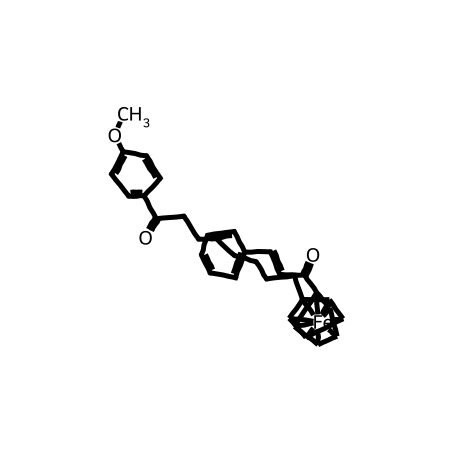 COc1ccc(C(=O)CCCCCCC[C]23[CH]4[CH]5[CH]6[CH]2[Fe]56432789[CH]3[CH]2[CH]7[C]8(C(=O)C=Cc2ccccc2)[CH]39)cc1